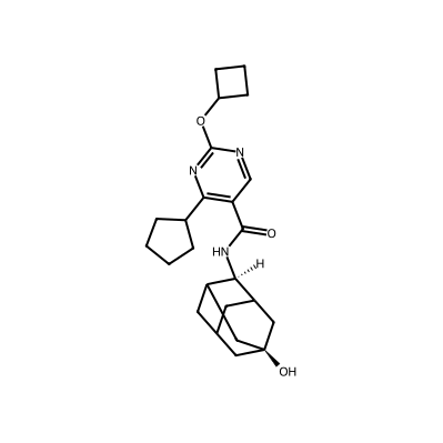 O=C(N[C@H]1C2CC3CC1C[C@@](O)(C3)C2)c1cnc(OC2CCC2)nc1C1CCCC1